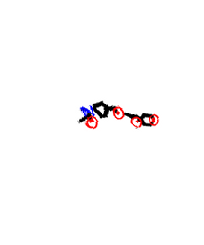 COC1(C=CCOCc2ccc(N(C)C(C)=O)cc2)CCOCC1